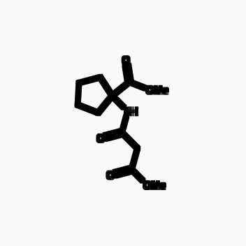 COC(=O)CC(=O)NC1(C(=O)OC)CCCC1